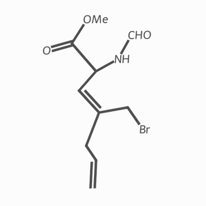 C=CC/C(=C/C(NC=O)C(=O)OC)CBr